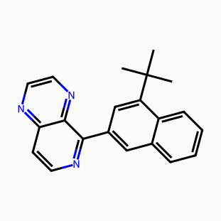 CC(C)(C)c1cc(-c2nccc3nccnc23)cc2ccccc12